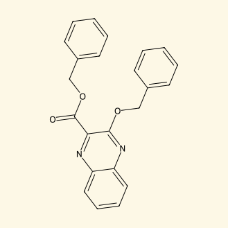 O=C(OCc1ccccc1)c1nc2ccccc2nc1OCc1ccccc1